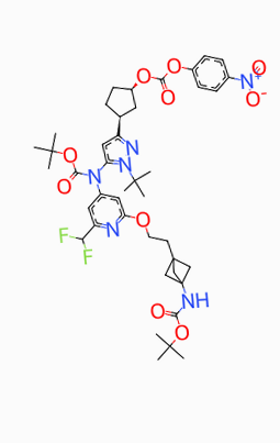 CC(C)(C)OC(=O)NC12CC(CCOc3cc(N(C(=O)OC(C)(C)C)c4cc([C@H]5CC[C@@H](OC(=O)Oc6ccc([N+](=O)[O-])cc6)C5)nn4C(C)(C)C)cc(C(F)F)n3)(C1)C2